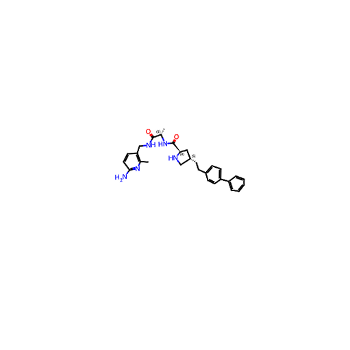 Cc1nc(N)ccc1CNC(=O)[C@H](C)NC(=O)[C@H]1C[C@H](CCc2ccc(-c3ccccc3)cc2)CN1